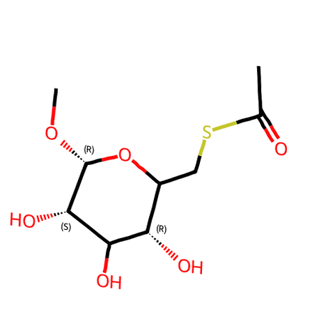 CO[C@@H]1OC(CSC(C)=O)[C@H](O)C(O)[C@@H]1O